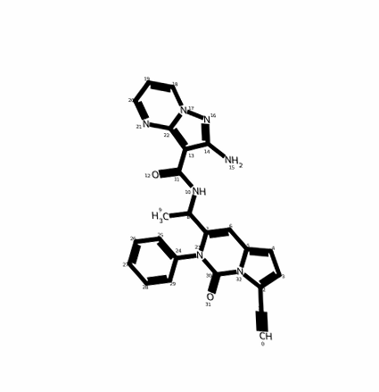 C#Cc1ccc2cc(C(C)NC(=O)c3c(N)nn4cccnc34)n(-c3ccccc3)c(=O)n12